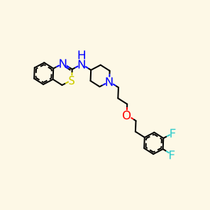 Fc1ccc(CCOCCCN2CCC(NC3=Nc4ccccc4CS3)CC2)cc1F